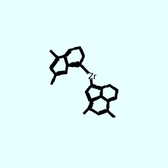 CC1=CC23C=C[C]([Zr][C]4=C5CCC=C6C(C)=CC(C)=CC65C=C4)=C2CCC=C3C(C)=C1